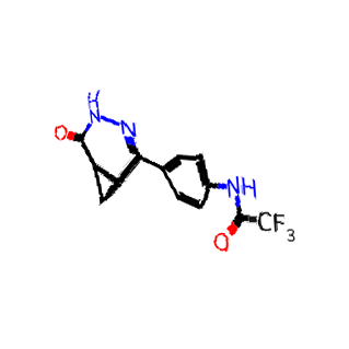 O=C1NN=C(c2ccc(NC(=O)C(F)(F)F)cc2)C2CC12